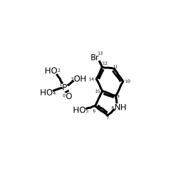 O=P(O)(O)O.Oc1c[nH]c2ccc(Br)cc12